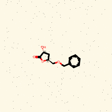 O=C1O[C@H](COCc2ccccc2)C[C@H]1O